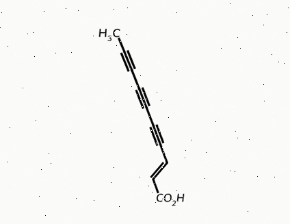 CC#CC#CC#CC=CC(=O)O